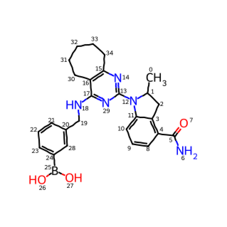 CC1Cc2c(C(N)=O)cccc2N1c1nc2c(c(NCc3cccc(B(O)O)c3)n1)CCCCC2